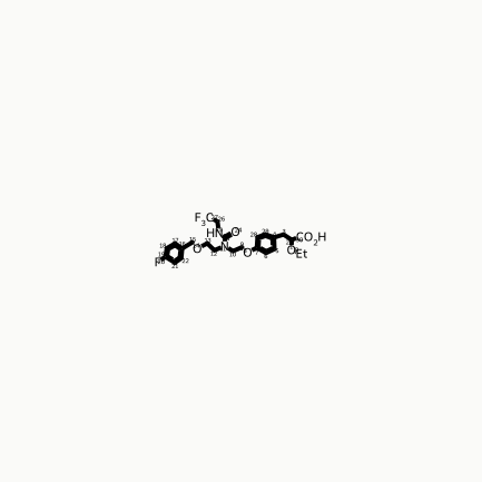 CCOC(Cc1ccc(OCCN(CCOCc2ccc(F)cc2)C(=O)NCC(F)(F)F)cc1)C(=O)O